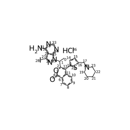 CC(c1oc(=O)c2ccccc2c1-c1ccc(CN2CCCCC2)s1)n1nc(I)c2c(N)ncnc21.Cl